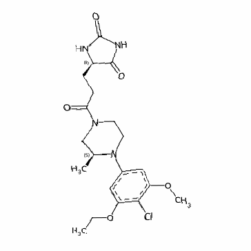 CCOc1cc(N2CCN(C(=O)CC[C@H]3NC(=O)NC3=O)C[C@@H]2C)cc(OC)c1Cl